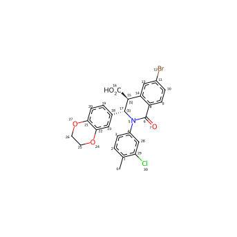 Cc1ccc(N2C(=O)c3ccc(Br)cc3[C@H](C(=O)O)[C@H]2c2ccc3c(c2)OCCO3)cc1Cl